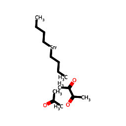 CC(=O)C(C)=O.CC(C)=O.CCC[CH2][Sn][CH2]CCC